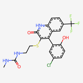 CNC(=O)NCCSc1c(-c2cc(Cl)ccc2O)c2cc(C(F)(F)F)ccc2[nH]c1=O